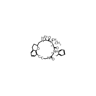 CCC1NCC2CCc3cccc(c3O2)CCCNC(=O)[C@@H](Cc2ccccc2)NC(=O)[C@@H](C)N(C)C1=O